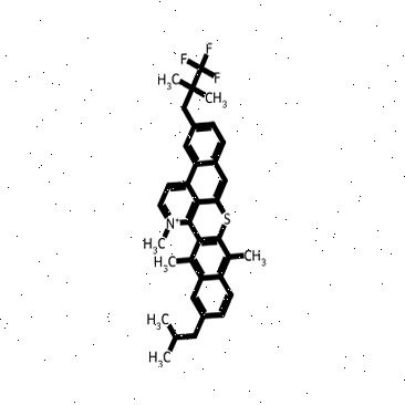 Cc1c2c(c(C)c3cc(CC(C)C)ccc13)-c1c3c(cc4ccc(CC(C)(C)C(F)(F)F)cc4c3cc[n+]1C)S2